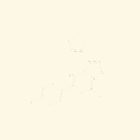 O=c1cc(-c2ccc(Cl)cc2)[nH]c2c(-c3cccs3)c(C(F)(F)F)nn12